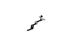 C=C(C)C(=O)OCC(CO)CCCCC1OCC(CCC2CCc3cc(CCCCC)ccc3C2)CO1